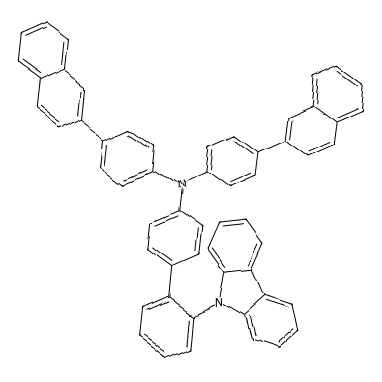 c1ccc(-n2c3ccccc3c3ccccc32)c(-c2ccc(N(c3ccc(-c4ccc5ccccc5c4)cc3)c3ccc(-c4ccc5ccccc5c4)cc3)cc2)c1